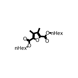 CCCCCCOC(=O)c1oc(C(=O)OCCCCCC)c(C)c1C